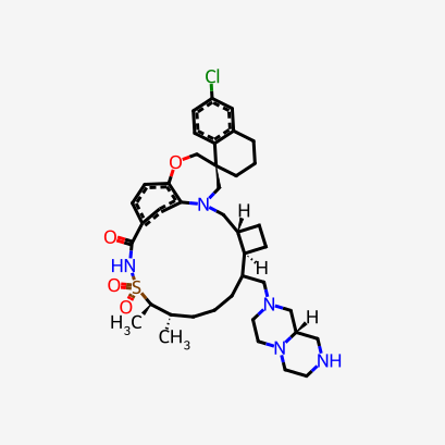 C[C@@H]1[C@@H](C)CCCC(CN2CCN3CCNC[C@H]3C2)[C@@H]2CC[C@H]2CN2C[C@@]3(CCCc4cc(Cl)ccc43)COc3ccc(cc32)C(=O)NS1(=O)=O